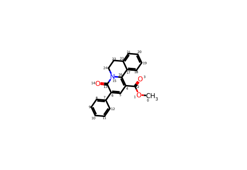 COC(=O)c1cc(-c2ccccc2)c(=O)n2c1-c1ccccc1CC2